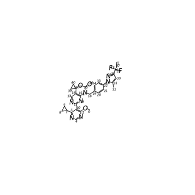 COc1ncnc(C2CC2)c1-c1ncc2c(n1)N(Cc1ccc(-n3nc(C(F)(F)F)cc3C)cc1)C(=O)OC21CC1